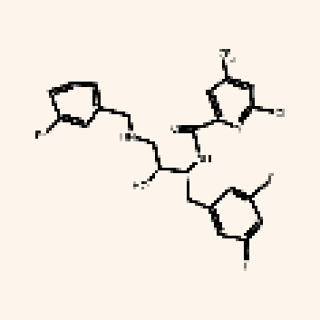 CCc1cccc(CNC[C@H](O)[C@H](Cc2cc(F)cc(F)c2)NC(=O)c2cc(C(F)(F)F)cc(Cl)n2)c1